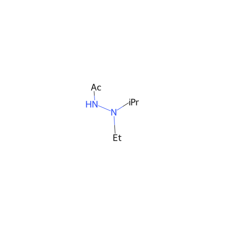 CCN(NC(C)=O)C(C)C